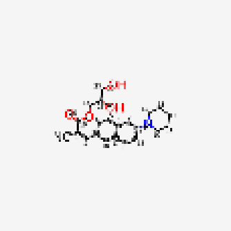 N#CC(=Cc1ccc2cc(N3CCCCC3)ccc2c1)C(=O)OCC(O)CO